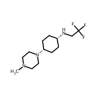 CN1CCN([C@H]2CC[C@@H](NCC(F)(F)F)CC2)CC1